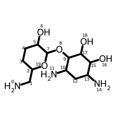 NCC1CCC(O)C(OC2C(N)CC(N)C(O)C2O)O1